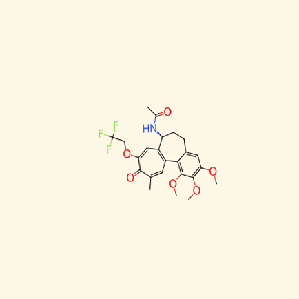 COc1cc2c(c(OC)c1OC)-c1cc(C)c(=O)c(OCC(F)(F)F)cc1[C@@H](NC(C)=O)CC2